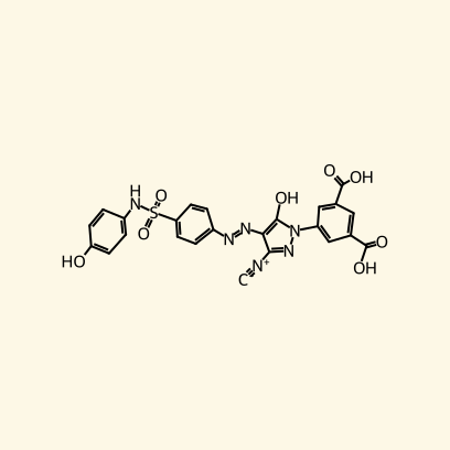 [C-]#[N+]c1nn(-c2cc(C(=O)O)cc(C(=O)O)c2)c(O)c1/N=N/c1ccc(S(=O)(=O)Nc2ccc(O)cc2)cc1